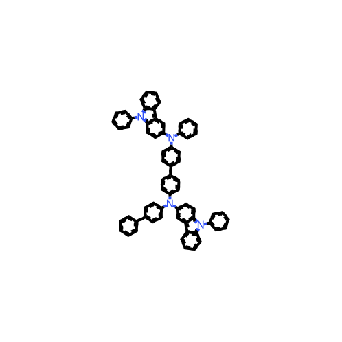 c1ccc(-c2ccc(N(c3ccc(-c4ccc(N(c5ccccc5)c5ccc6c(c5)c5ccccc5n6-c5ccccc5)cc4)cc3)c3ccc4c(c3)c3ccccc3n4-c3ccccc3)cc2)cc1